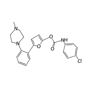 CN1CCN(c2ccccc2-c2ccc(OC(=O)Nc3ccc(Cl)cc3)o2)CC1